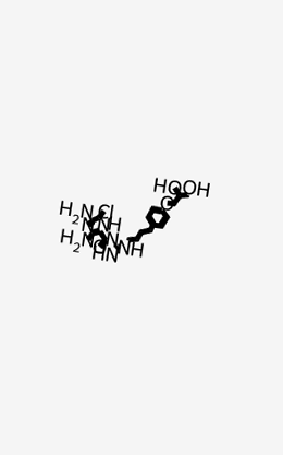 N=C(NCCCCc1ccc(OCC(O)CO)cc1)NC(=O)c1nc(Cl)c(N)nc1N